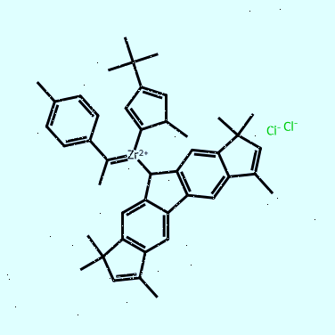 CC1=CC(C)(C)c2cc3c(cc21)-c1cc2c(cc1[CH]3/[Zr+2]([C]1=CC(C(C)(C)C)=CC1C)=[C](\C)c1ccc(C)cc1)C(C)(C)C=C2C.[Cl-].[Cl-]